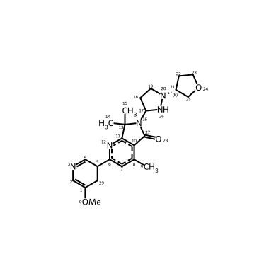 COC1=CN=CC(c2cc(C)c3c(n2)C(C)(C)N(C2CCN([C@@H]4CCOC4)N2)C3=O)C1